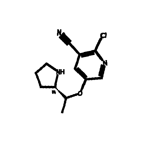 CC(Oc1cnc(Cl)c(C#N)c1)[C@@H]1CCCN1